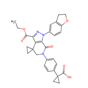 CCOC(=O)c1nn(-c2ccc3c(c2)CCO3)c2c1C1(CC1)CN(c1ccc(C3(C(=O)O)CC3)cc1)C2=O